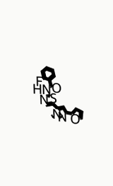 Cn1nc(C2CC=CO2)cc1-c1cnc(NC(=O)c2ccccc2F)s1